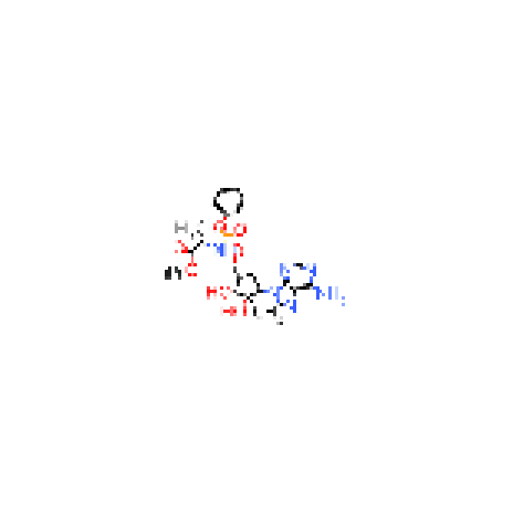 CC(C)OC(=O)[C@H](C)N[P@](=O)(OC[C@H]1C[C@@H](n2cnc3c(N)ncnc32)[C@](C)(O)[C@@H]1O)Oc1ccccc1